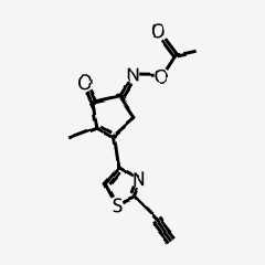 C#Cc1nc(C2=C(C)C(=O)/C(=N/OC(C)=O)C2)cs1